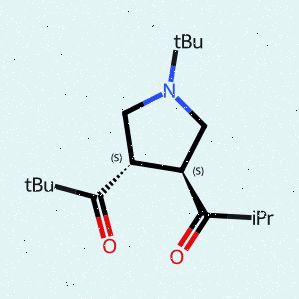 CC(C)C(=O)[C@@H]1CN(C(C)(C)C)C[C@H]1C(=O)C(C)(C)C